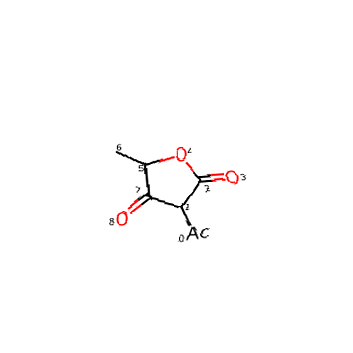 CC(=O)C1C(=O)OC(C)C1=O